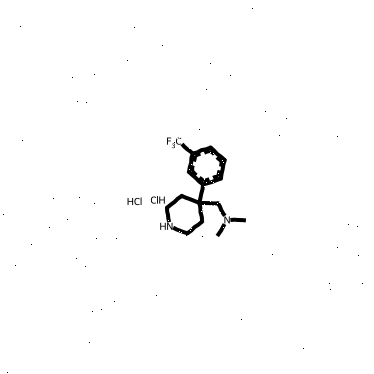 CN(C)CC1(c2cccc(C(F)(F)F)c2)CCNCC1.Cl.Cl